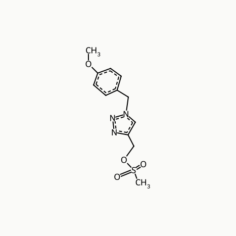 COc1ccc(Cn2cc(COS(C)(=O)=O)nn2)cc1